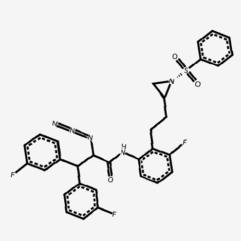 [N-]=[N+]=NC(C(=O)Nc1cccc(F)c1CCC1C[N@]1S(=O)(=O)c1ccccc1)C(c1cccc(F)c1)c1cccc(F)c1